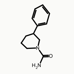 NC(=O)N1CCCC(c2ccccc2)C1